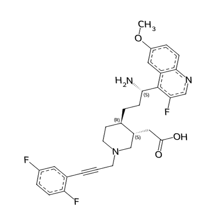 COc1ccc2ncc(F)c([C@@H](N)CC[C@@H]3CCN(CC#Cc4cc(F)ccc4F)C[C@H]3CC(=O)O)c2c1